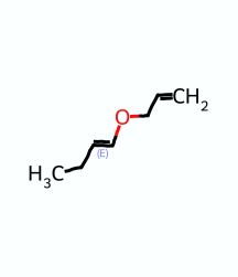 C=CCO/C=C/CC